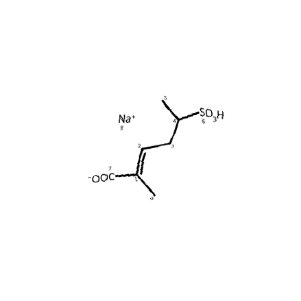 CC(=CCC(C)S(=O)(=O)O)C(=O)[O-].[Na+]